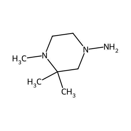 CN1CCN(N)CC1(C)C